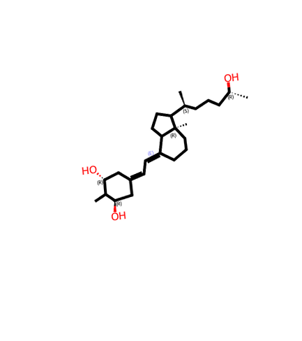 CC1[C@H](O)CC(=C/C=C2\CCC[C@@]3(C)C2CCC3[C@@H](C)CCC[C@@H](C)O)C[C@H]1O